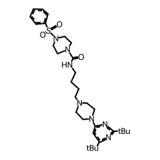 CC(C)(C)c1cc(N2CCN(CCCCNC(=O)N3CCN(S(=O)(=O)c4ccccc4)CC3)CC2)nc(C(C)(C)C)n1